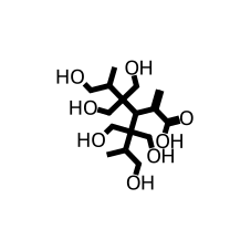 C=C(C(=O)O)C(C(CO)(CO)C(C)CO)C(CO)(CO)C(C)CO